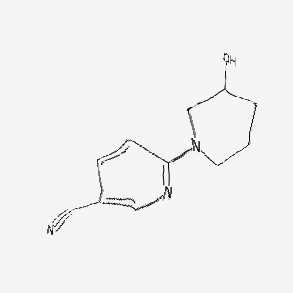 N#Cc1ccc(N2CCCC(O)C2)nc1